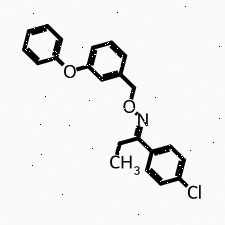 CC/C(=N\OCc1cccc(Oc2ccccc2)c1)c1ccc(Cl)cc1